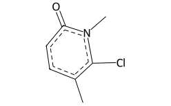 Cc1ccc(=O)n(C)c1Cl